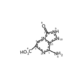 Nc1nc(C(=O)O)cn2c(=O)[nH]nc12